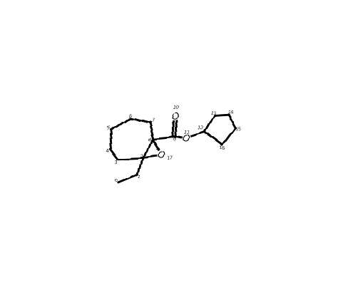 CCC12CCCCCC1(C(=O)OC1CCCC1)O2